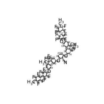 Cc1c(F)c(F)c(-c2c(F)c(F)c(Oc3ccc(C(C)(c4ccc(Oc5cccc(Oc6ccc(C(C)(c7ccc(Oc8c(F)c(F)c(-c9c(F)c(F)c(C)c(F)c9F)c(F)c8F)cc7)C(F)(F)F)cc6)c5C#N)cc4)C(F)(F)F)cc3)c(F)c2F)c(F)c1F